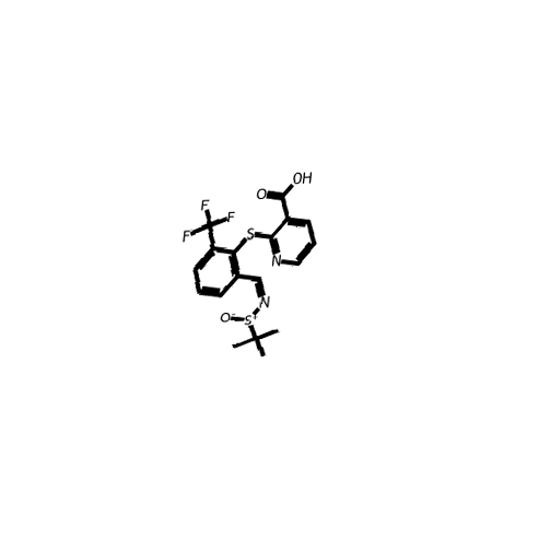 CC(C)(C)[S+]([O-])/N=C\c1cccc(C(F)(F)F)c1Sc1ncccc1C(=O)O